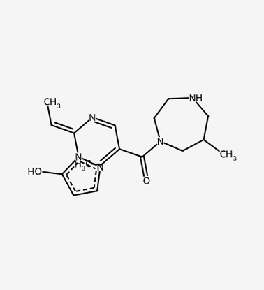 C\C=C(/C=N\C(=C/C)n1nccc1O)C(=O)N1CCNCC(C)C1